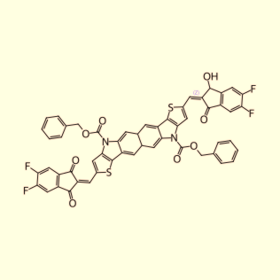 O=C1C(=Cc2cc3c(s2)c2c(n3C(=O)OCc3ccccc3)=CC3C=c4c(n(C(=O)OCc5ccccc5)c5cc(/C=C6\C(=O)c7cc(F)c(F)cc7C6O)sc45)=CC3C=2)C(=O)c2cc(F)c(F)cc21